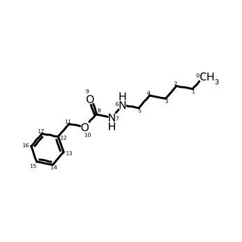 CCCCCCNNC(=O)OCc1ccccc1